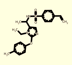 C=Cc1ccc(S(=O)(=O)NC(C)c2cnc(Oc3ccc(C)cc3)n2CC)cc1